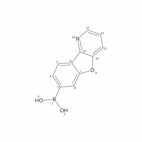 OB(O)c1ccc2c(c1)oc1cccnc12